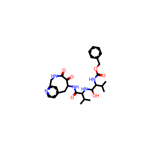 CC(C)C(NC(O)C(NC(=O)OCc1ccccc1)C(C)C)C(=O)NC1Cc2ccnc(c2)CNC(=O)C1=O